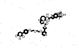 O=C1CCC(c2ccc(OCCOCCOc3ccncc3C3CN(C(=O)[C@@H]4CC[C@@H]5CCC[C@H](NC(=O)c6cc7cc(C(F)(F)P(=O)(O)O)ccc7s6)C(=O)N54)C3)cc2)C(=O)N1